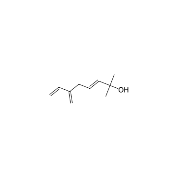 C=CC(=C)CC=CC(C)(C)O